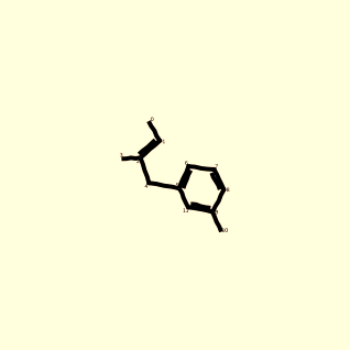 CC=C(C)Cc1cccc(C)c1